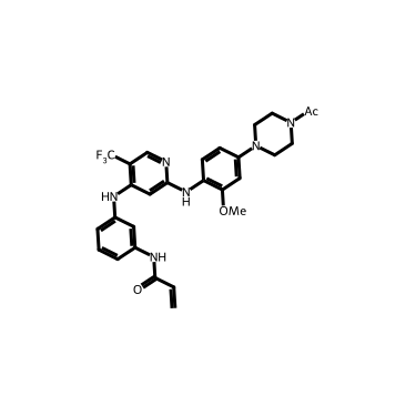 C=CC(=O)Nc1cccc(Nc2cc(Nc3ccc(N4CCN(C(C)=O)CC4)cc3OC)ncc2C(F)(F)F)c1